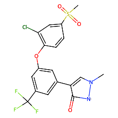 CN1C=C(c2cc(Oc3ccc(S(C)(=O)=O)cc3Cl)cc(C(F)(F)F)c2)C(=O)[N]1